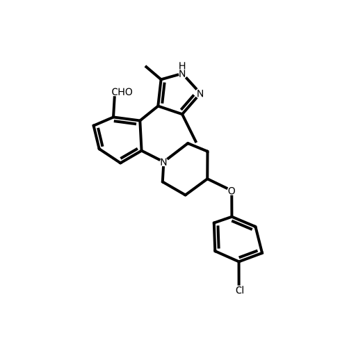 Cc1n[nH]c(C)c1-c1c(C=O)cccc1N1CCC(Oc2ccc(Cl)cc2)CC1